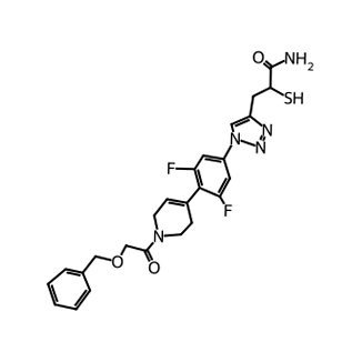 NC(=O)C(S)Cc1cn(-c2cc(F)c(C3=CCN(C(=O)COCc4ccccc4)CC3)c(F)c2)nn1